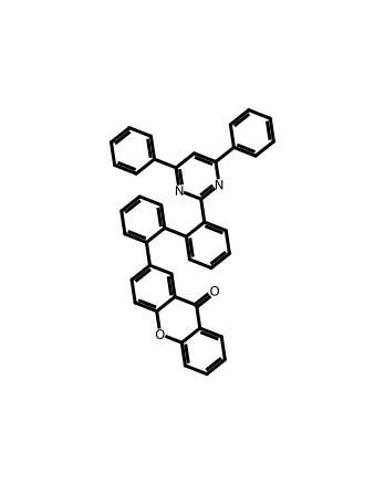 O=c1c2ccccc2oc2ccc(-c3ccccc3-c3ccccc3-c3nc(-c4ccccc4)cc(-c4ccccc4)n3)cc12